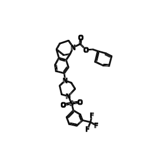 O=C(OCc1ccccc1)N1CCC2CC1c1cc(N3CCN(S(=O)(=O)c4cccc(C(F)(F)F)c4)CC3)ccc12